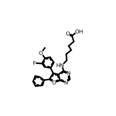 COc1ccc(-c2c(-c3ccccc3)oc3ncnc(NCCCCCC(=O)O)c23)cc1F